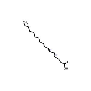 CCCCCCCCCC/C=C/C=C/CCC(=O)O